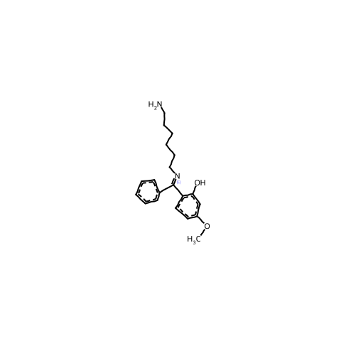 COc1ccc(/C(=N/CCCCCCN)c2ccccc2)c(O)c1